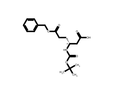 CC(C)(C)OC(=O)N[C@H](CCC(=O)OCc1ccccc1)CC(=O)O